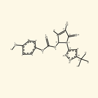 COc1ccc(OC(=O)OC2C(C)=C(Cl)C(=O)N2c2cc(C(C)(C)C)on2)cc1